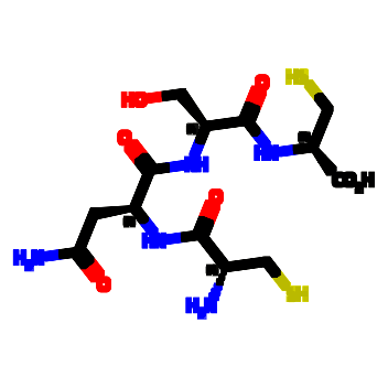 NC(=O)C[C@H](NC(=O)[C@@H](N)CS)C(=O)N[C@@H](CO)C(=O)N[C@@H](CS)C(=O)O